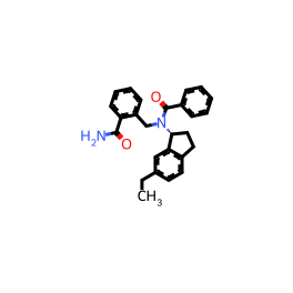 CCc1ccc2c(c1)[C@H](N(Cc1ccccc1C(N)=O)C(=O)c1ccccc1)CC2